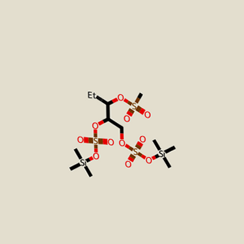 CCC(OS(C)(=O)=O)C(COS(=O)(=O)O[Si](C)(C)C)OS(=O)(=O)O[Si](C)(C)C